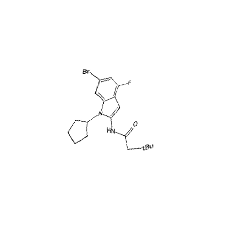 CC(C)(C)CC(=O)Nc1cc2c(F)cc(Br)cc2n1C1CCCC1